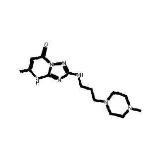 Cc1cc(=O)n2nc(NCCCN3CCN(C)CC3)nc2[nH]1